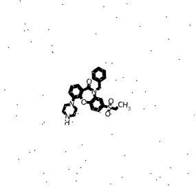 CCS(=O)(=O)c1ccc2c(c1)N(Cc1ccccc1)C(=O)c1cccc(N3CCNCC3)c1O2